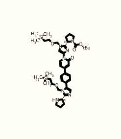 CC(C)(C)OC(=O)N1CCC[C@H]1c1nc(-n2ccc(-c3ccc(-c4cnc([C@@H]5CCCN5)n4COCC[Si](C)(C)C)cc3)cc2=O)cn1COCC[Si](C)(C)C